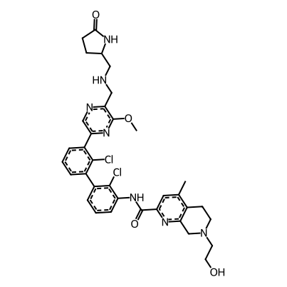 COc1nc(-c2cccc(-c3cccc(NC(=O)c4cc(C)c5c(n4)CN(CCO)CC5)c3Cl)c2Cl)cnc1CNCC1CCC(=O)N1